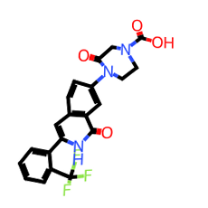 O=C(O)N1CCN(c2ccc3cc(-c4ccccc4C(F)(F)F)[nH]c(=O)c3c2)C(=O)C1